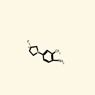 Nc1ccc(N2CC[C@H](F)C2)cc1C(F)(F)F